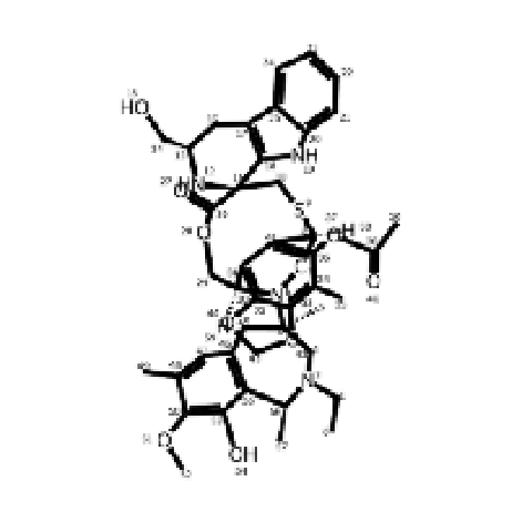 CCN1C[C@](C)(N2C[C@@H]3SC[C@]4(N[C@@H](CO)Cc5c4[nH]c4ccccc54)C(=O)OC[C@H]2c2c4c(c(C)c(OC(C)=O)c23)OCO4)Cc2cc(C)c(OC)c(O)c2[C@@H]1C